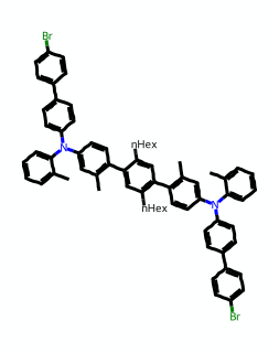 CCCCCCc1cc(-c2ccc(N(c3ccc(-c4ccc(Br)cc4)cc3)c3ccccc3C)cc2C)c(CCCCCC)cc1-c1ccc(N(c2ccc(-c3ccc(Br)cc3)cc2)c2ccccc2C)cc1C